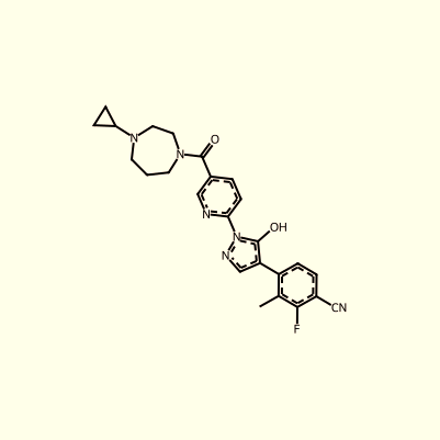 Cc1c(-c2cnn(-c3ccc(C(=O)N4CCCN(C5CC5)CC4)cn3)c2O)ccc(C#N)c1F